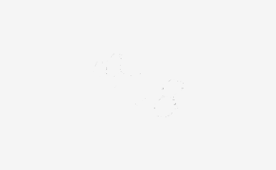 O=C(c1c(C2CC2)ccc2cncn12)C1CCC(c2ccc(F)c3ccccc23)CC1